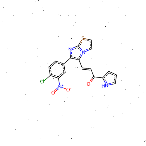 O=C(/C=C/c1c(-c2ccc(Cl)c([N+](=O)[O-])c2)nc2sccn12)c1ccc[nH]1